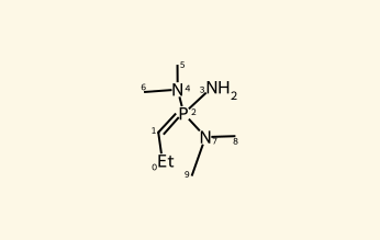 CCC=P(N)(N(C)C)N(C)C